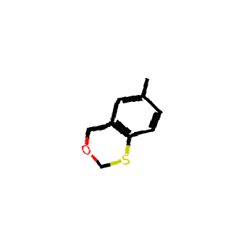 Cc1ccc2c(c1)COCS2